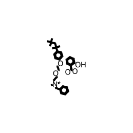 CC(C)(C)CC(C)(C)c1ccc(OCCOCC[N+](C)(C)Cc2ccccc2)cc1.O=C([O-])c1ccccc1O